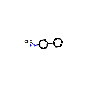 O=[C]Nc1ccc(-c2ccccc2)cc1